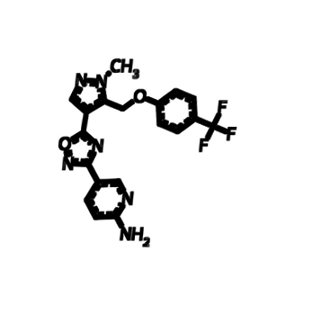 Cn1ncc(-c2nc(-c3ccc(N)nc3)no2)c1COc1ccc(C(F)(F)F)cc1